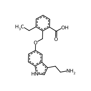 CCc1cccc(C(=O)O)c1COc1ccc2[nH]cc(CCN)c2c1